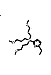 CCc1ccc(S(CCCOC)(CCCOC)CCCOC)s1